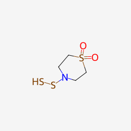 O=S1(=O)CCN(SS)CC1